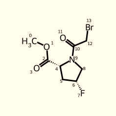 COC(=O)[C@H]1C[C@@H](F)CN1C(=O)CBr